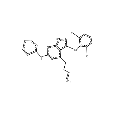 C=CCCc1nc(Nc2ccccc2)nc2[nH]nc(Nc3c(Cl)cccc3Cl)c12